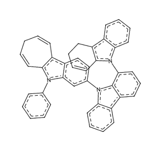 C1=Cc2c(n(-c3ccccc3)c3cc(-n4c5ccccc5c5cccc(-n6c7c(c8ccccc86)CCC=C7)c54)ccc23)C=CC1